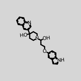 OC(CCOc1ccc2[nH]ccc2c1)N1CCC(O)(c2cnc3ccccc3c2)CC1